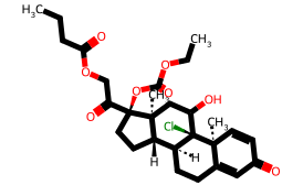 CCCC(=O)OCC(=O)[C@@]1(OC(=O)OCC)CC[C@H]2[C@@H]3CCC4=CC(=O)C=C[C@]4(C)[C@@]3(Cl)C(O)C[C@@]21C